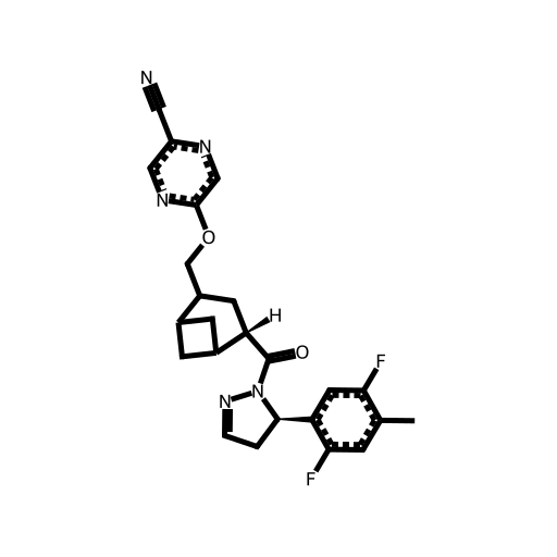 Cc1cc(F)c([C@H]2CC=NN2C(=O)[C@H]2CC(COc3cnc(C#N)cn3)C3CC2C3)cc1F